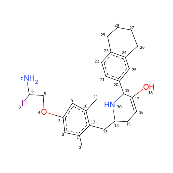 Cc1cc(OCC(N)I)cc(C)c1CC1CC=C(O)C(c2ccc3c(c2)CCCC3)N1